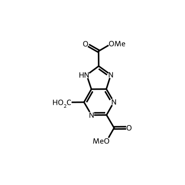 COC(=O)c1nc(C(=O)O)c2[nH]c(C(=O)OC)nc2n1